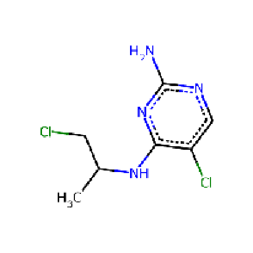 CC(CCl)Nc1nc(N)ncc1Cl